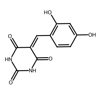 O=C1NC(=O)C(=Cc2ccc(O)cc2O)C(=O)N1